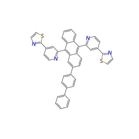 c1ccc(-c2ccc(-c3ccc4c(-c5cc(-c6nccs6)ccn5)c5ccccc5c(-c5cc(-c6nccs6)ccn5)c4c3)cc2)cc1